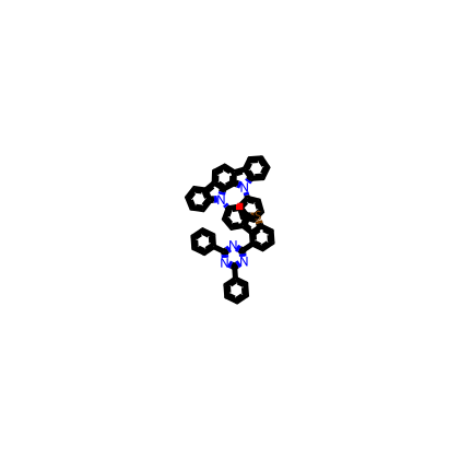 c1ccc(-c2nc(-c3ccccc3)nc(-c3cccc4sc5cc(-n6c7ccccc7c7ccc8c9ccccc9n(-c9ccccc9)c8c76)ccc5c34)n2)cc1